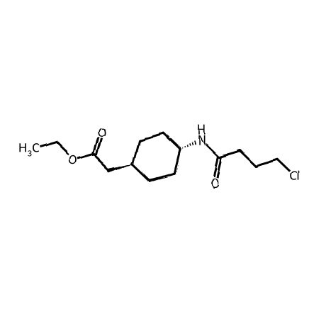 CCOC(=O)C[C@H]1CC[C@H](NC(=O)CCCCl)CC1